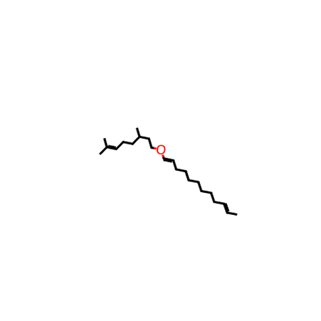 CC=CCCCCCCCC=COCCC(C)CCC=C(C)C